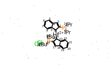 CC(C)P(C1=Cc2ccccc2[CH]1[Hf+2][CH]1C(P(C(C)(C)C)C(C)(C)C)=Cc2ccccc21)C(C)C.[Cl-].[Cl-]